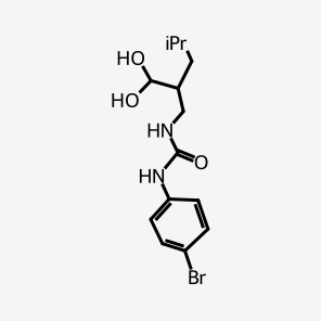 CC(C)CC(CNC(=O)Nc1ccc(Br)cc1)C(O)O